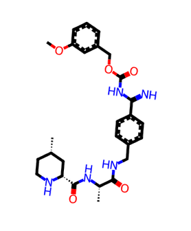 COc1cccc(COC(=O)NC(=N)c2ccc(CNC(=O)[C@H](C)NC(=O)[C@H]3C[C@@H](C)CCN3)cc2)c1